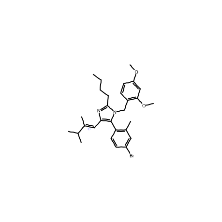 CCCCc1nc(/C=C(\C)C(C)C)c(-c2ccc(Br)cc2C)n1Cc1ccc(OC)cc1OC